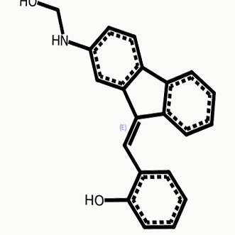 OCNc1ccc2c(c1)/C(=C/c1ccccc1O)c1ccccc1-2